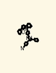 N#Cc1ccc(-c2cc(-c3ccccc3)nc(-c3ccc(-n4c5ccccc5c5ccc6c7ccccc7oc6c54)cc3)n2)cc1